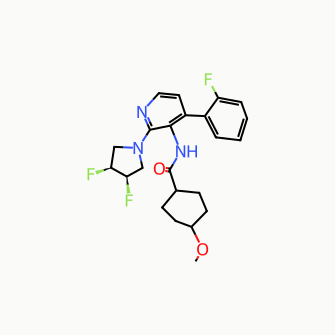 COC1CCC(C(=O)Nc2c(-c3ccccc3F)ccnc2N2C[C@@H](F)[C@@H](F)C2)CC1